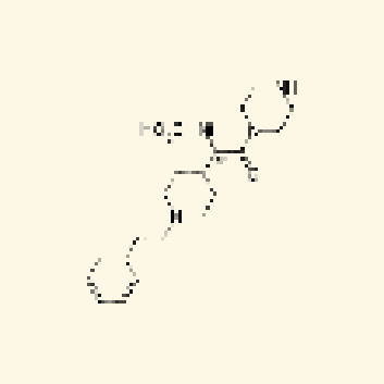 O=C(O)N[C@@H](C(=O)N1CCNCC1)C1CCN(CCc2ccccc2)CC1